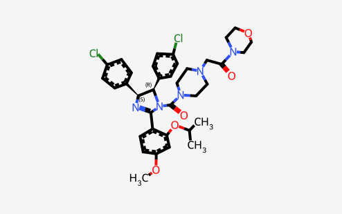 COc1ccc(C2=N[C@@H](c3ccc(Cl)cc3)[C@@H](c3ccc(Cl)cc3)N2C(=O)N2CCN(CC(=O)N3CCOCC3)CC2)c(OC(C)C)c1